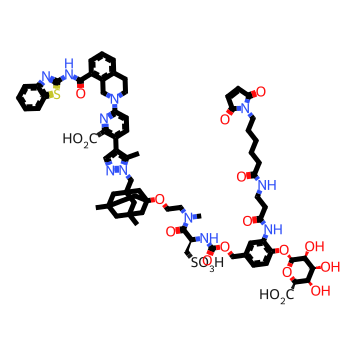 Cc1c(-c2ccc(N3CCc4cccc(C(=O)Nc5nc6ccccc6s5)c4C3)nc2C(=O)O)cnn1CC12CC3(C)CC(C)(C1)CC(OCCN(C)C(=O)[C@H](CS(=O)(=O)O)NC(=O)OCc1ccc(O[C@@H]4O[C@H](C(=O)O)[C@H](O)[C@H](O)[C@@H]4O)c(NC(=O)CCNC(=O)CCCCCN4C(=O)C=CC4=O)c1)(C3)C2